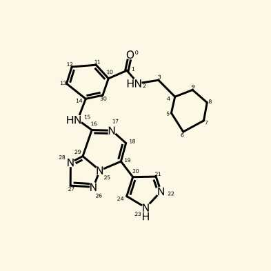 O=C(NCC1CCCCC1)c1cccc(Nc2ncc(-c3cn[nH]c3)n3ncnc23)c1